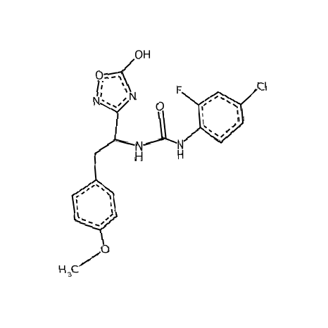 COc1ccc(CC(NC(=O)Nc2ccc(Cl)cc2F)c2noc(O)n2)cc1